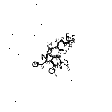 COc1nc(OC)c2c(C=O)nn([C@@H](C)c3ccc(C(F)(F)F)cc3)c2n1